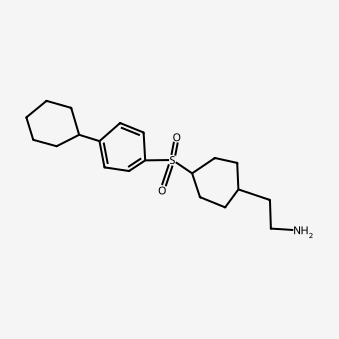 NCCC1CCC(S(=O)(=O)c2ccc(C3CCCCC3)cc2)CC1